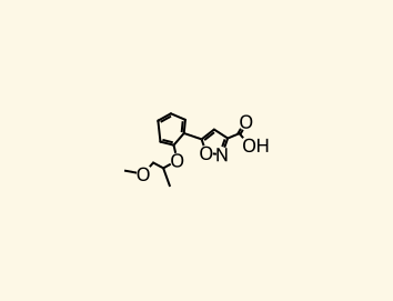 COCC(C)Oc1ccccc1-c1cc(C(=O)O)no1